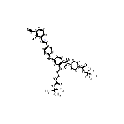 CC(C)(C)OC(=O)OCCNc1cc(Nc2ncc(/C=C/c3cccc(C#N)c3F)cn2)ccc1S(=O)(=O)N1CCN(C(=O)OC(C)(C)C)CC1